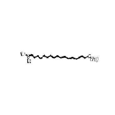 CCN(CC)CCCCCCCCCCCCCCCCOC=O